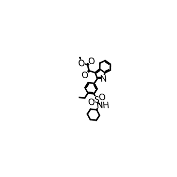 CCc1ccc(C2=NC3=CC=CCC3=C2C(=O)C(=O)OC)cc1S(=O)(=O)NC1CCCCC1